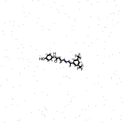 CC(/C=C/C=C(\C)c1cc(C(F)(F)F)cc(C(F)(F)F)c1)=C\C(=O)Nc1ccc(O)cc1